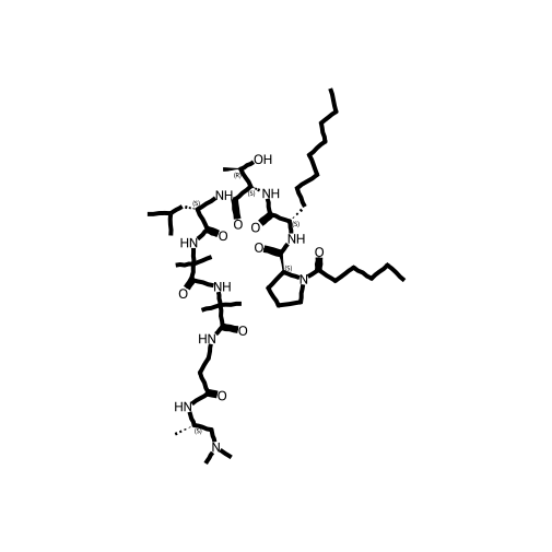 CCCCCCCC[C@H](NC(=O)[C@@H]1CCCN1C(=O)CCCCC)C(=O)N[C@H](C(=O)N[C@@H](CC(C)C)C(=O)NC(C)(C)C(=O)NC(C)(C)C(=O)NCCC(=O)N[C@@H](C)CN(C)C)[C@@H](C)O